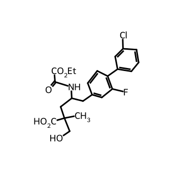 CCOC(=O)C(=O)NC(Cc1ccc(-c2cccc(Cl)c2)c(F)c1)CC(C)(CO)C(=O)O